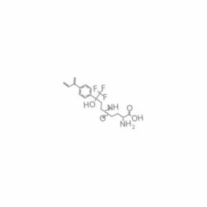 C=CC(=C)c1ccc(C(O)(CCS(=N)(=O)CC[C@H](N)C(=O)O)C(F)(F)F)cc1